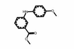 COC(=O)c1cccc(Nc2ccc(OC)cc2)c1